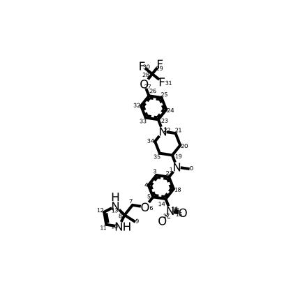 CN(c1ccc(OCC2(C)NC=CN2)c([N+](=O)[O-])c1)C1CCN(c2ccc(OC(F)(F)F)cc2)CC1